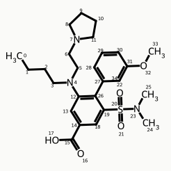 CCCCN(CCN1CCCC1)c1cc(C(=O)O)cc(S(=O)(=O)N(C)C)c1-c1cccc(OC)c1